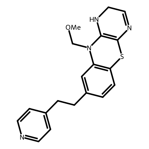 COCN1C2=C(N=CCN2)Sc2ccc(CCc3ccncc3)cc21